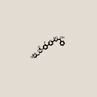 O=C1O[C@H](Cc2c[nH]nn2)CN1c1ccc(-c2ccc(C3=NOC(C(O)c4ccccc4)C3)nc2)c(F)c1